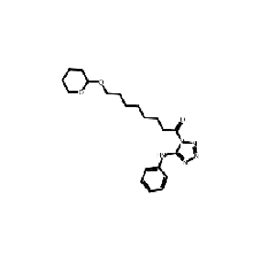 O=C(CCCCCCCOC1CCCCO1)n1nnnc1Nc1ccccc1